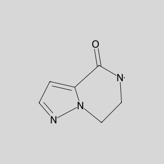 O=C1[N]CCn2nccc21